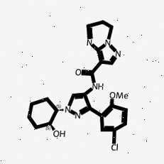 COc1ccc(Cl)cc1-c1nn([C@H]2CCCC[C@@H]2O)cc1NC(=O)c1cnn2c1N=CCC2